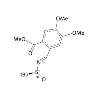 COC(=O)c1cc(OC)c(OC)cc1/C=N/[S@@+]([O-])C(C)(C)C